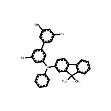 CC(C)(C)c1cc(-c2cc(C(C)(C)C)cc(C(C)(C)C)c2)cc(N(c2ccccc2)c2ccc3c(c2)C(C)(C)c2ccccc2-3)c1